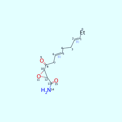 CC/C=C/CC/C=C/CC(=O)C1OC1C(N)=O